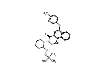 Cc1ccc(Cc2cc3c(c4ccccc24)NCN([C@H]2CCCC[C@@H]2NO[Si](C)(C)C(C)(C)C)C3=O)cn1